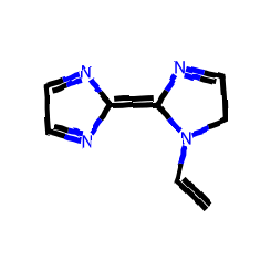 C=CN1CC=NC1=C1N=CC=N1